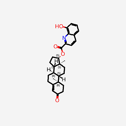 C[C@]12CC[C@H]3[C@@H](CCC4=CC(=O)CC[C@@]43C)[C@@H]1CC[C@@H]2OC(=O)c1ccc2cccc(O)c2n1